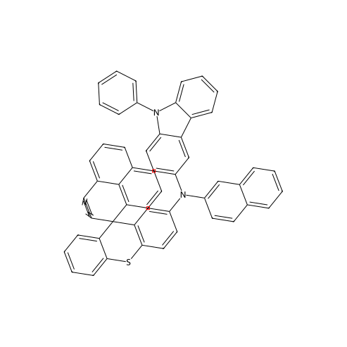 c1ccc(-n2c3ccccc3c3cc(N(c4ccc5c(c4)C4(c6ccccc6S5)c5ccccc5-c5cccc6cccc4c56)c4ccc5ccccc5c4)ccc32)cc1